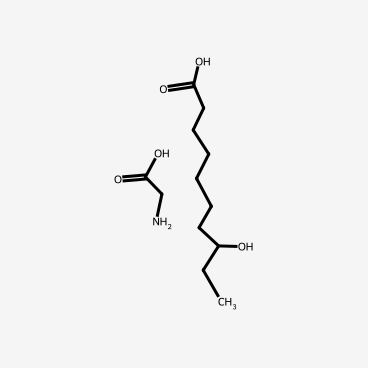 CCC(O)CCCCCCC(=O)O.NCC(=O)O